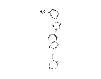 Cc1cccc(-c2ccn(-c3ccc4oc(/C=C/[C@H]5COCCO5)cc4n3)n2)c1